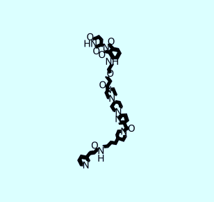 O=C(/C=C/c1cccnc1)NCCCCC1CCN(C(=O)c2ccc(N3CCC(N4CCN(C(=O)CCOCCNc5cccc6c5C(=O)N(C5CCC(=O)NC5=O)C6=O)CC4)CC3)nc2)CC1